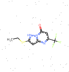 CCSc1cc2nc(C(F)(F)F)cc(=O)n2[nH]1